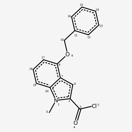 Cn1c(C(=O)Cl)cc2c(OCc3ccccc3)cccc21